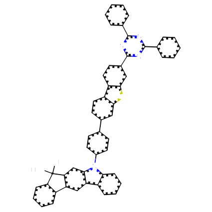 CC1(C)c2ccccc2-c2cc3c4ccccc4n(-c4ccc(-c5ccc6c(c5)sc5cc(-c7nc(-c8ccccc8)nc(-c8ccccc8)n7)ccc56)cc4)c3cc21